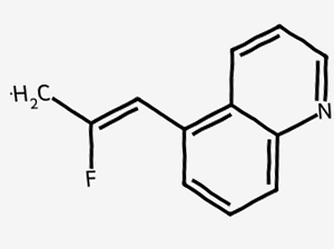 [CH2]/C(F)=C/c1cccc2ncccc12